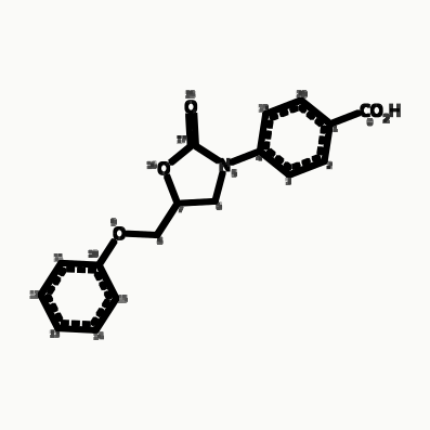 O=C(O)c1ccc(N2CC(COc3ccccc3)OC2=O)cc1